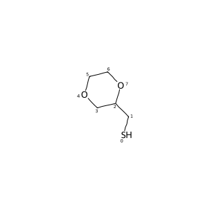 SCC1COCCO1